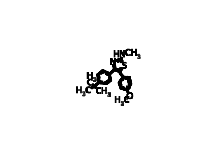 CNc1nc(-c2ccc(C(C)(C)C)cc2)c(-c2ccc(OC)cc2)s1